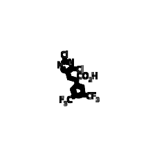 O=C(O)C(Cc1cnc(Cl)nc1Cl)c1cc(C(F)(F)F)cc(C(F)(F)F)c1